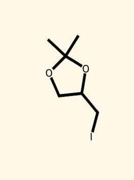 CC1(C)OCC(CI)O1